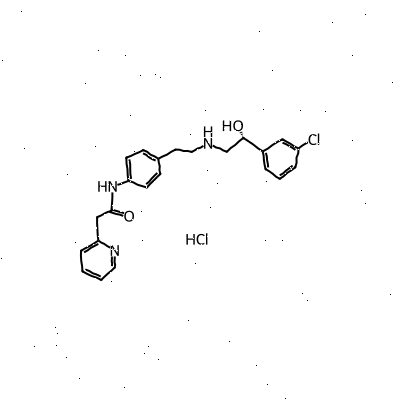 Cl.O=C(Cc1ccccn1)Nc1ccc(CCNC[C@H](O)c2cccc(Cl)c2)cc1